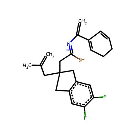 C=C(C)CC1(C/C(S)=N/C(=C)C2=CCCC=C2)Cc2cc(F)c(F)cc2C1